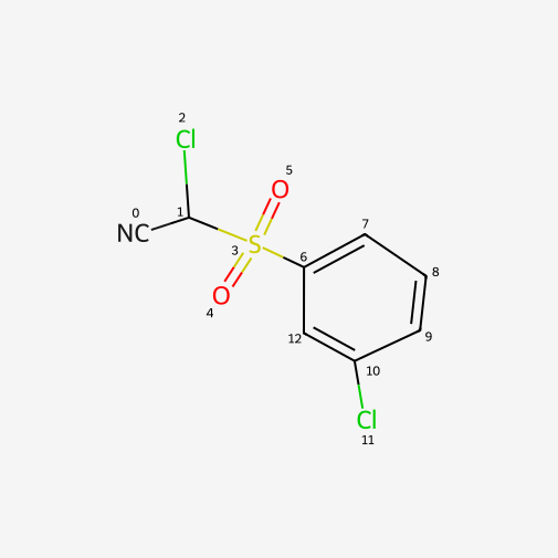 N#CC(Cl)S(=O)(=O)c1cccc(Cl)c1